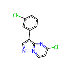 Clc1cccc(-c2cnn3ccc(Cl)nc23)c1